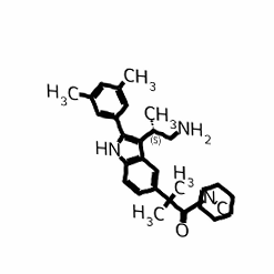 Cc1cc(C)cc(-c2[nH]c3ccc(C(C)(C)C(=O)N4CC5CCC4CC5)cc3c2[C@H](C)CN)c1